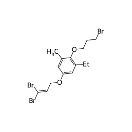 CCc1cc(OCC=C(Br)Br)cc(C)c1OCCCBr